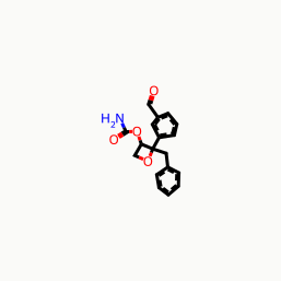 NC(=O)OC1COC1(Cc1ccccc1)c1cccc(C=O)c1